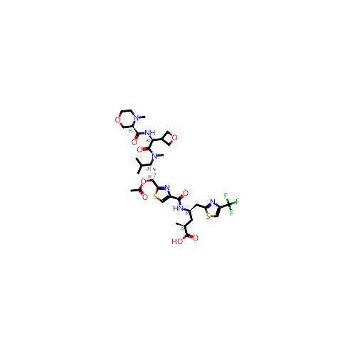 CC(=O)O[C@H](C[C@H](C(C)C)N(C)C(=O)[C@@H](NC(=O)[C@H]1COCCN1C)C1COC1)c1nc(C(=O)N[C@@H](Cc2nc(C(F)(F)F)cs2)C[C@H](C)C(=O)O)cs1